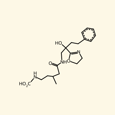 CC(CCNC(=O)O)CC(=O)NCC(O)(CCc1ccccc1)C1=NCCO1